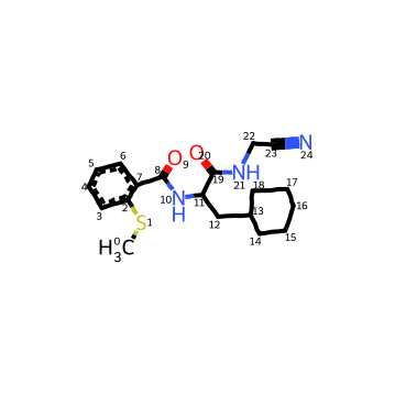 CSc1ccccc1C(=O)NC(CC1CCCCC1)C(=O)NCC#N